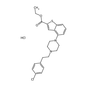 CCOC(=O)c1cc2c(N3CCN(CCc4ccc(Cl)cc4)CC3)cccc2s1.Cl